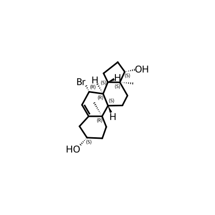 C[C@]12CC[C@H]3[C@@H]([C@@H](Br)C=C4C[C@@H](O)CC[C@@]43C)[C@@H]1CC[C@@H]2O